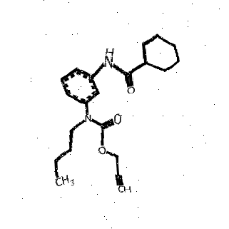 C#CCOC(=O)N(CCCC)c1cccc(NC(=O)C2CCCCC2)c1